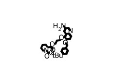 CC(C)(C)OC(=O)N1CCCCC1C(=O)OCCCOc1c(OCc2ccccc2)ccc2ncc(N)cc12